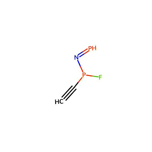 C#CP(F)N=P